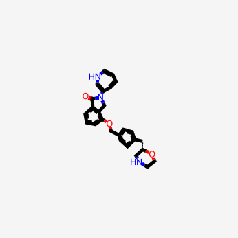 O=C1c2cccc(OCc3ccc(C[C@H]4CNCCO4)cc3)c2CN1C1=CNC=CC=C1